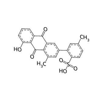 Cc1ccc(S(=O)(=O)O)c(-c2cc(C)c3c(c2)C(=O)c2cccc(O)c2C3=O)c1